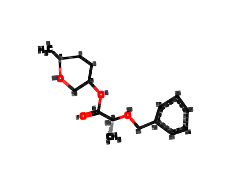 CC1CCC(OC(=O)[C@@H](C)OCc2ccccc2)CO1